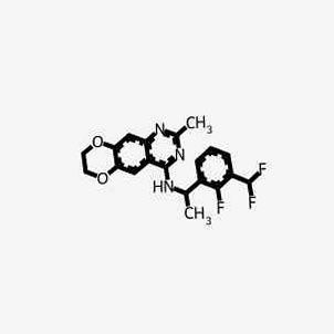 Cc1nc(NC(C)c2cccc(C(F)F)c2F)c2cc3c(cc2n1)OCCO3